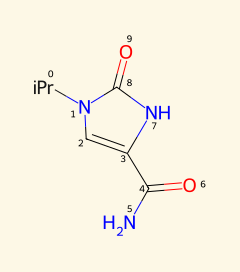 CC(C)n1cc(C(N)=O)[nH]c1=O